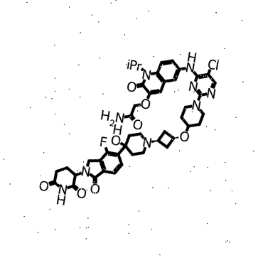 CC(C)n1c(=O)c(OCC(N)=O)cc2cc(Nc3nc(N4CCC(O[C@H]5C[C@H](N6CCC(O)(c7ccc8c(c7F)CN(C7CCC(=O)NC7=O)C8=O)CC6)C5)CC4)ncc3Cl)ccc21